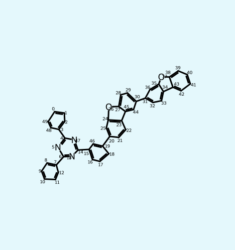 c1ccc(-c2nc(-c3ccccc3)nc(-c3cccc(-c4ccc5c(c4)oc4ccc(-c6ccc7c(c6)oc6ccccc67)cc45)c3)n2)cc1